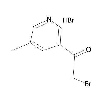 Br.Cc1cncc(C(=O)CBr)c1